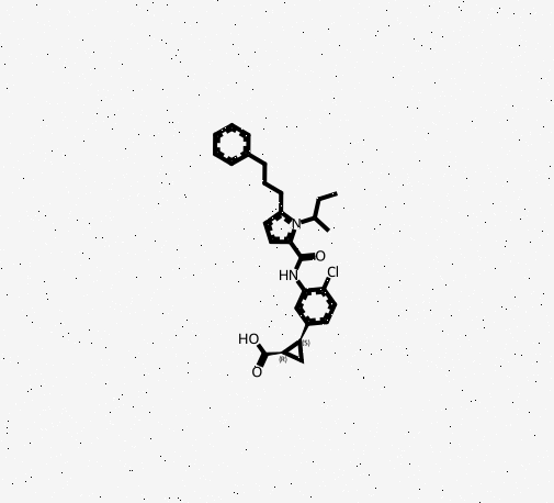 CCC(C)n1c(CCCc2ccccc2)ccc1C(=O)Nc1cc([C@H]2C[C@H]2C(=O)O)ccc1Cl